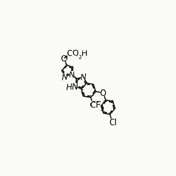 O=C(O)Oc1cnn(-c2nc3cc(Oc4ccc(Cl)cc4)c(C(F)(F)F)cc3[nH]2)c1